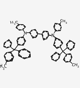 Cc1ccc(N(c2ccc(-c3ccc(N(c4ccc(C)cc4)c4ccc(C(c5ccccc5)(c5ccccc5)c5ccc(C)cc5)cc4)cc3)cc2)c2ccc(C(c3ccccc3)(c3ccccc3)c3ccc(C)cc3)cc2)cc1